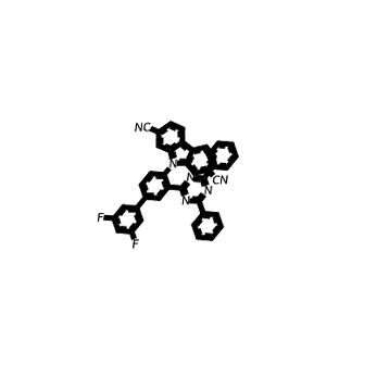 N#Cc1ccc2c3ccc(C#N)cc3n(-c3ccc(-c4cc(F)cc(F)c4)cc3-c3nc(-c4ccccc4)nc(-c4ccccc4)n3)c2c1